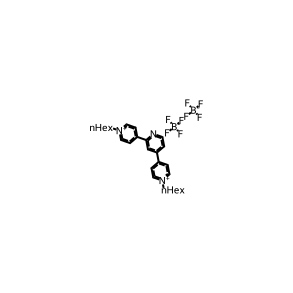 CCCCCC[n+]1ccc(-c2ccnc(-c3cc[n+](CCCCCC)cc3)c2)cc1.F[B-](F)(F)F.F[B-](F)(F)F